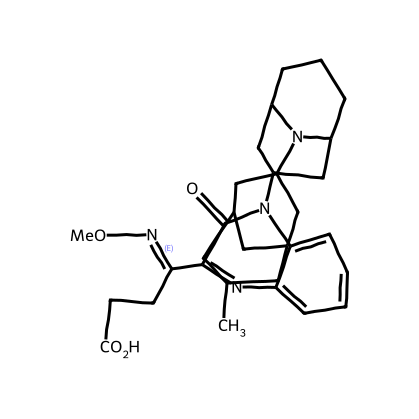 CO/N=C(\CCC(=O)O)c1nc2ccccc2n(C2CC3CCCC(C2)N3C2CC3CC(C)CC(C3)C2)c1=O